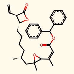 C=C[C@H]1C(=O)O[C@@H]1CCCC[C@@H](C)CC1(C)OC1/C(C)=C\C(=O)OC(c1ccccc1)c1ccccc1